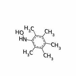 Cc1c(C)c(C)c(NO)c(C)c1C